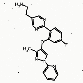 Cc1nn(-c2ccccn2)cc1Oc1cc(F)ccc1-c1ncc(CCN)cn1